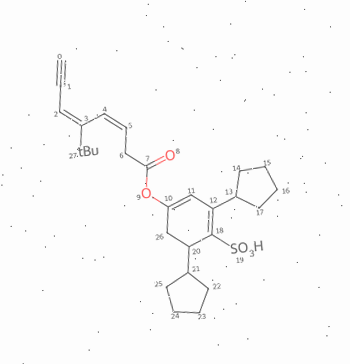 C#C/C=C(\C=C/CC(=O)OC1=CC(C2CCCC2)=C(S(=O)(=O)O)C(C2CCCC2)C1)C(C)(C)C